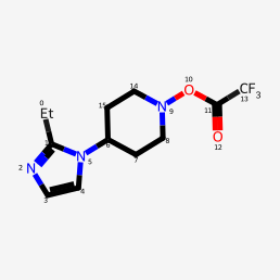 CCc1nccn1C1CCN(OC(=O)C(F)(F)F)CC1